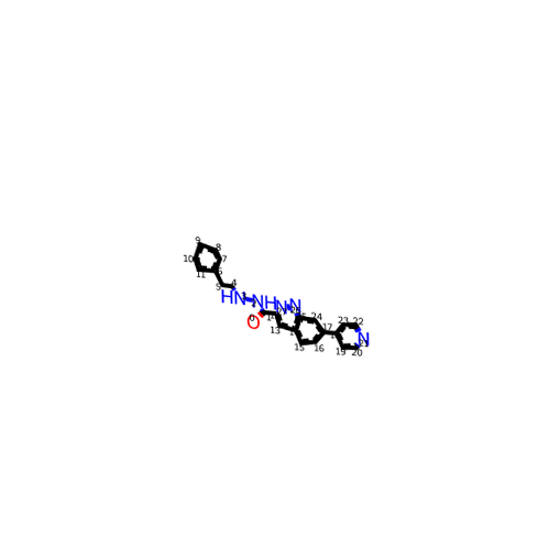 O=C(NNCCc1ccccc1)c1cc2ccc(-c3ccncc3)cc2nn1